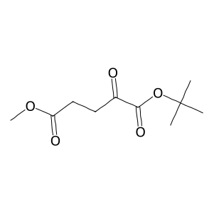 COC(=O)CCC(=O)C(=O)OC(C)(C)C